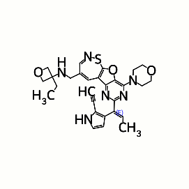 C#Cc1[nH]ccc1/C(=C\C)c1nc(N2CCOCC2)c2oc3c(c2n1)C=C(CNC1(CC)COC1)C=NS3